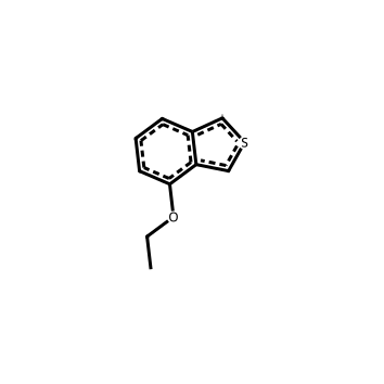 CCOc1cccc2[c]scc12